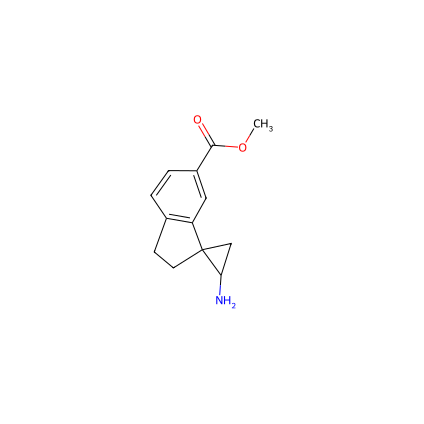 COC(=O)c1ccc2c(c1)C1(CC2)CC1N